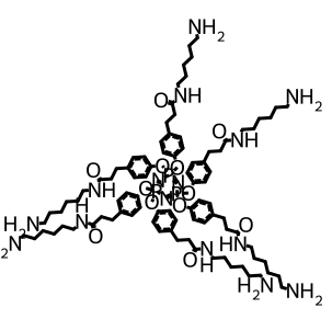 NCCCCCCNC(=O)CCc1ccc(OP2(Oc3ccc(CCC(=O)NCCCCCCN)cc3)=NP(Oc3ccc(CCC(=O)NCCCCCCN)cc3)(Oc3ccc(CCC(=O)NCCCCCCN)cc3)=NP(Oc3ccc(CCC(=O)NCCCCCCN)cc3)(Oc3ccc(CCC(=O)NCCCCCCN)cc3)=N2)cc1